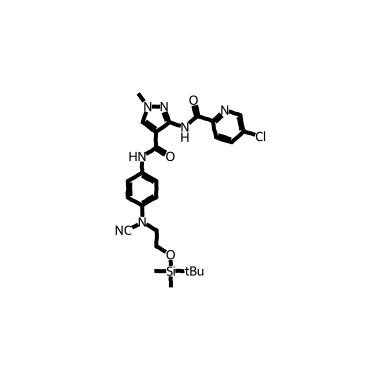 Cn1cc(C(=O)Nc2ccc(N(C#N)CCO[Si](C)(C)C(C)(C)C)cc2)c(NC(=O)c2ccc(Cl)cn2)n1